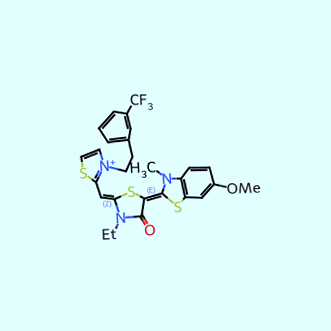 CCn1c(=O)/c(=C2\Sc3cc(OC)ccc3N2C)s/c1=C\c1scc[n+]1CCc1cccc(C(F)(F)F)c1